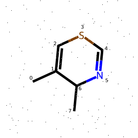 CC1=CSC=NC1C